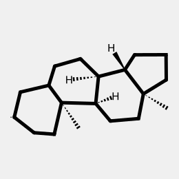 C[C@@]12CCC[C@H]1[C@@H]1CCC3C[CH]CC[C@]3(C)[C@@H]1CC2